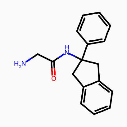 NCC(=O)NC1(c2ccccc2)Cc2ccccc2C1